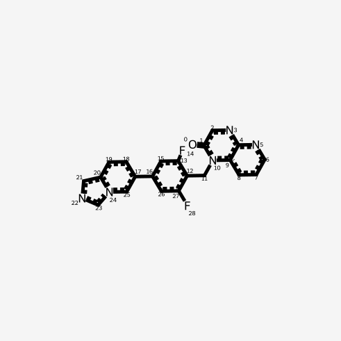 O=c1cnc2ncccc2n1Cc1c(F)cc(-c2ccc3cncn3c2)cc1F